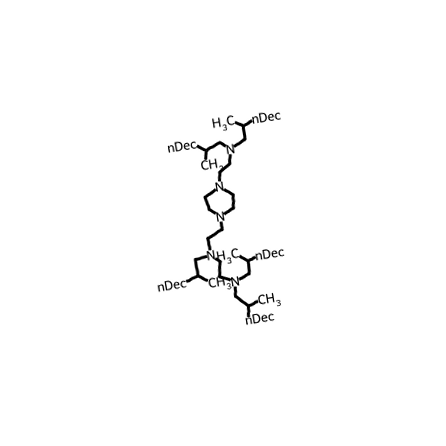 CCCCCCCCCCC(C)CN(CCN1CCN(CCN(CC(C)CCCCCCCCCC)CC(C)CCCCCCCCCC)CC1)CCN(CC(C)CCCCCCCCCC)CC(C)CCCCCCCCCC